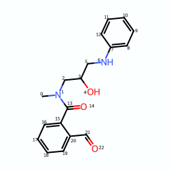 CN(CC(O)CNc1ccccc1)C(=O)c1ccccc1C=O